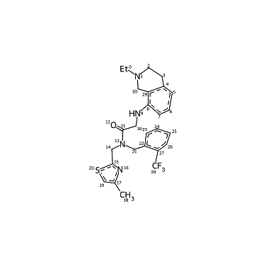 CCN1CCc2cccc(NCC(=O)N(Cc3nc(C)cs3)Cc3ccccc3C(F)(F)F)c2C1